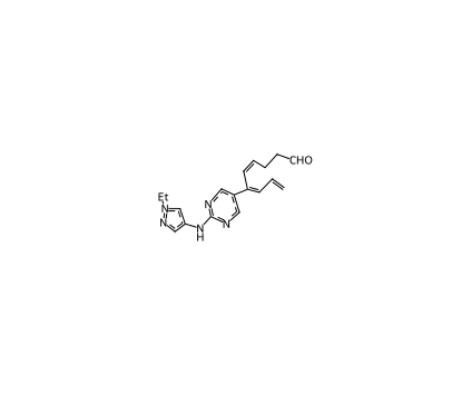 C=C/C=C(\C=C/CCC=O)c1cnc(Nc2cnn(CC)c2)nc1